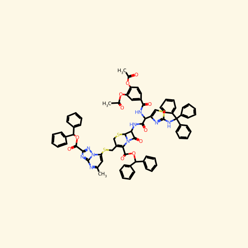 CC(=O)Oc1ccc(C(=O)NC(C(=O)NC2C(=O)N3C(C(=O)OC(c4ccccc4)c4ccccc4)=C(CSc4cc(C)nc5nc(C(=O)OC(c6ccccc6)c6ccccc6)nn45)CSC23)c2csc(NC(c3ccccc3)(c3ccccc3)c3ccccc3)n2)cc1OC(C)=O